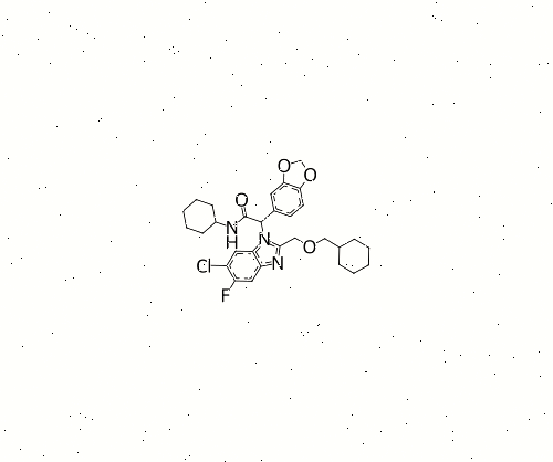 O=C(NC1CCCCC1)C(c1ccc2c(c1)OCO2)n1c(COCC2CCCCC2)nc2cc(F)c(Cl)cc21